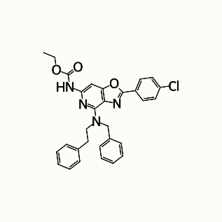 CCOC(=O)Nc1cc2oc(-c3ccc(Cl)cc3)nc2c(N(CCc2ccccc2)Cc2ccccc2)n1